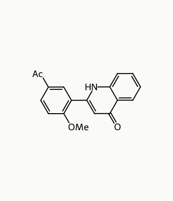 COc1ccc(C(C)=O)cc1-c1cc(=O)c2ccccc2[nH]1